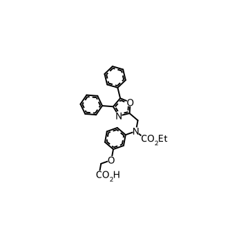 CCOC(=O)N(Cc1nc(-c2ccccc2)c(-c2ccccc2)o1)c1cccc(OCC(=O)O)c1